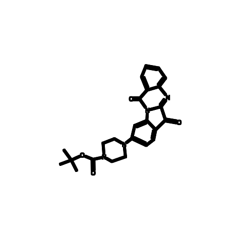 CC(C)(C)OC(=O)N1CCN(c2ccc3c(c2)-n2c(nc4ccccc4c2=O)C3=O)CC1